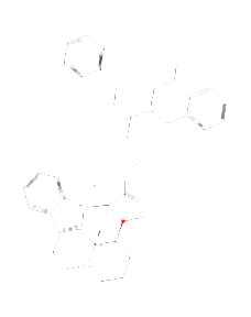 CC(COc1ccccc1)N(CCCl)Cc1ccccc1.CC[C@]12CCCN3CCc4c(n(c5ccccc45)[C@@](O)(C(=O)OC)C1)[C@@H]32